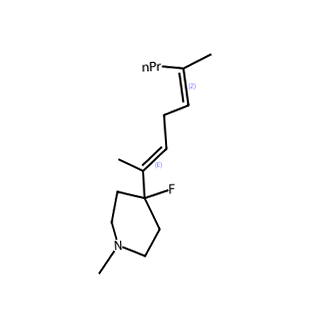 CCC/C(C)=C\C/C=C(\C)C1(F)CCN(C)CC1